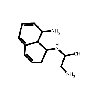 CC(CN)NC1CC=CC2=CC=CC(N)C21